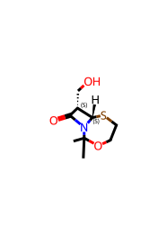 CC1(C)OCCS[C@H]2[C@@H](CO)C(=O)N21